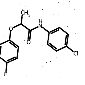 CC(Oc1ccc(F)cc1)C(=O)Nc1ccc(Cl)cc1